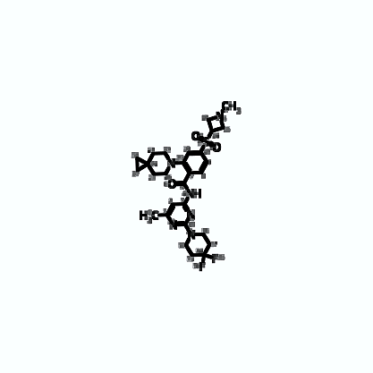 Cc1cc(NC(=O)c2ccc(S(=O)(=O)C3CN(C)C3)cc2N2CCC3(CC2)CC3)nc(N2CCC(F)(F)CC2)n1